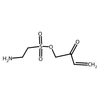 C=CC(=O)COS(=O)(=O)CCN